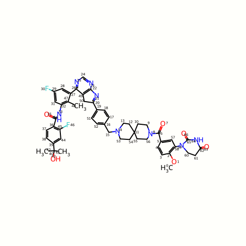 COc1ccc(C(=O)N2CCC3(CCN(Cc4ccc(C5=Nc6ncnc(-c7cc(F)cc(NC(=O)c8ccc(C(C)(C)O)cc8F)c7C)c6C5)cc4)CC3)CC2)cc1N1CCC(=O)NC1=O